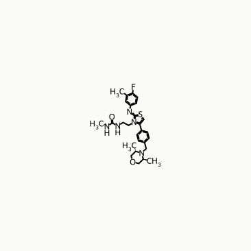 CNC(=O)NCCn1c(-c2ccc(CN3[C@@H](C)COC[C@@H]3C)cc2)cs/c1=N\c1ccc(F)c(C)c1